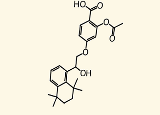 CC(=O)Oc1cc(OCC(O)c2cccc3c2C(C)(C)CCC3(C)C)ccc1C(=O)O